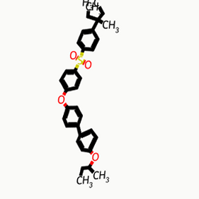 CCC(C)Oc1ccc(-c2ccc(Oc3ccc(S(=O)(=O)c4ccc(C(C)(CC)CC)cc4)cc3)cc2)cc1